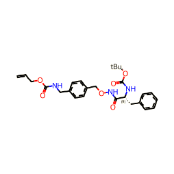 C=CCOC(=O)NCc1ccc(CONC(=O)[C@@H](Cc2ccccc2)NC(=O)OC(C)(C)C)cc1